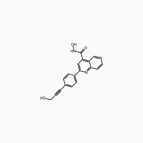 O=C(NO)c1cc(-c2ccc(C#CCO)cc2)nc2ccncc12